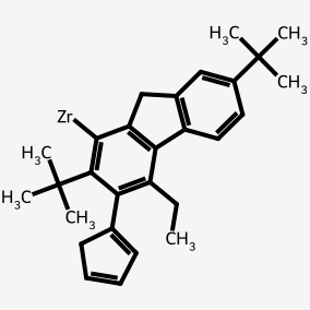 CCc1c(C2=CC=CC2)c(C(C)(C)C)[c]([Zr])c2c1-c1ccc(C(C)(C)C)cc1C2